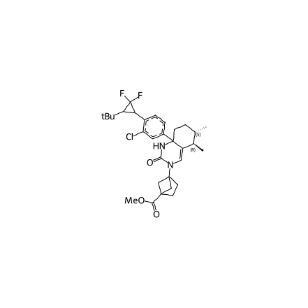 COC(=O)C12CCC(N3C=C4[C@H](C)[C@@H](C)CCC4(c4ccc(C5C(C(C)(C)C)C5(F)F)c(Cl)c4)NC3=O)(C1)C2